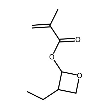 C=C(C)C(=O)OC1OCC1CC